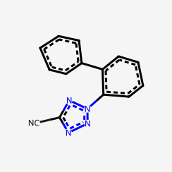 N#Cc1nnn(-c2ccccc2-c2ccccc2)n1